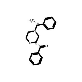 C[C@H](c1ccccc1)N1CCO[C@@H](C(=O)c2ccccc2)C1